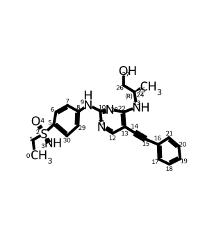 CCS(=N)(=O)c1ccc(Nc2ncc(C#Cc3ccccc3)c(N[C@H](C)CO)n2)cc1